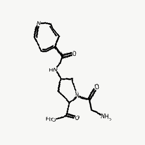 NCC(=O)N1CC(NC(=O)c2ccncc2)CC1C(=O)O